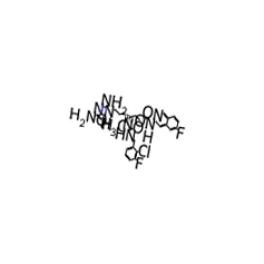 CN(C(=O)NCc1cccc(F)c1Cl)[C@H](CCCN/C(N)=N\C(N)=O)COC(=O)Nc1cc2cc(F)ccc2cn1